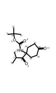 CC(C)C(=O)C1(NC(=O)OC(C)(C)C)CCC(=O)CC1